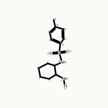 CCNC1CCCCC1NS(=O)(=O)c1ccc(C)cc1